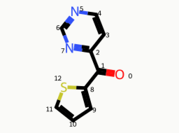 O=C(c1ccncn1)c1cccs1